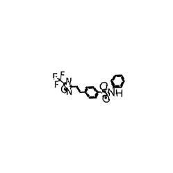 O=S(=O)(Nc1ccccc1)c1ccc(C=Cc2noc(C(F)(F)F)n2)cc1